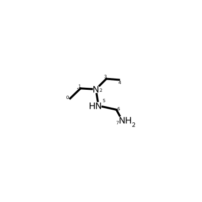 C[CH]N(CC)NCN